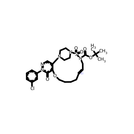 CC(C)(C)OC(=O)N1C/C=C/CCCCOc2c(cnn(-c3cccc(Cl)c3)c2=O)N2CCN(CC2)S1(=O)=O